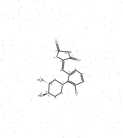 N[C@@H]1CN(c2c(Cl)cccc2C=C2SC(=O)NC2=O)CC[C@H]1O